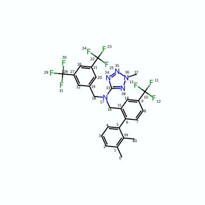 Cc1cccc(-c2ccc(C(F)(F)F)cc2CN(Cc2cc(C(F)(F)F)cc(C(F)(F)F)c2)c2nnn(C)n2)c1C